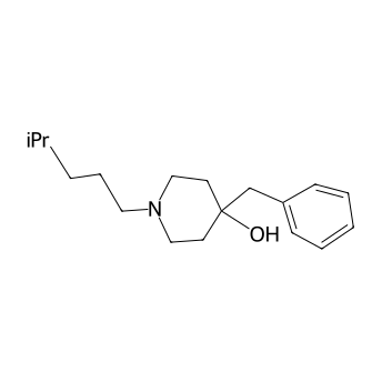 CC(C)CCCN1CCC(O)(Cc2ccccc2)CC1